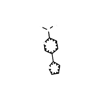 C[S+]([O-])c1ccc(-c2cccs2)[c]n1